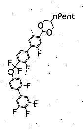 CCCCCC1COC(c2ccc(-c3ccc(C(F)(F)Oc4ccc(-c5cc(F)c(F)c(F)c5)c(F)c4)c(F)c3)c(F)c2)OC1